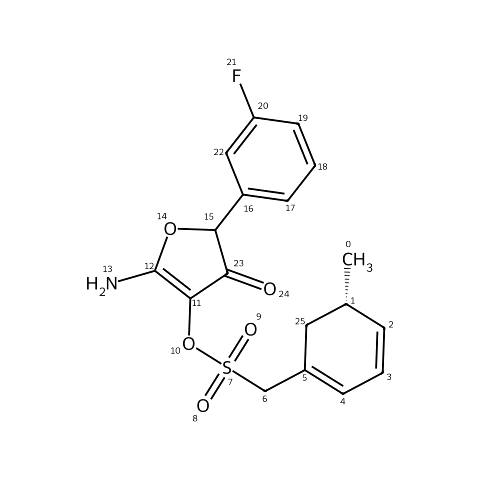 C[C@@H]1C=CC=C(CS(=O)(=O)OC2=C(N)OC(c3cccc(F)c3)C2=O)C1